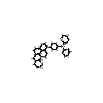 c1ccc(N(c2ccc(-c3ccc4ccc5cc6cccnc6c6ccc3c4c56)cc2)c2ccccn2)nc1